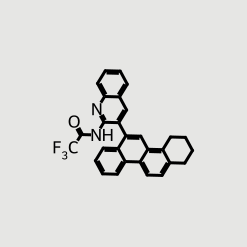 O=C(Nc1nc2ccccc2cc1-c1cc2c3c(ccc2c2ccccc12)CCCC3)C(F)(F)F